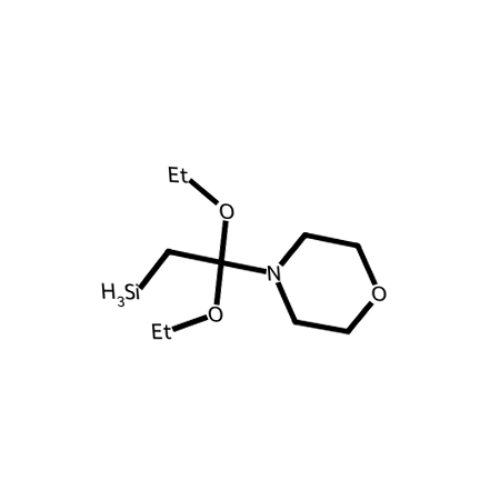 CCOC(C[SiH3])(OCC)N1CCOCC1